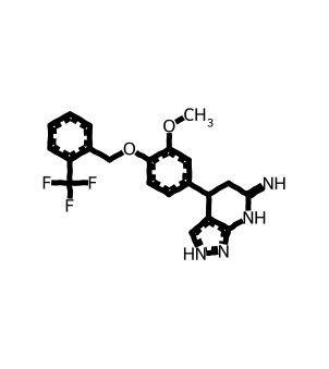 COc1cc(C2CC(=N)Nc3n[nH]cc32)ccc1OCc1ccccc1C(F)(F)F